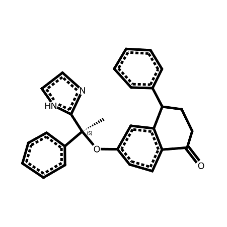 C[C@](Oc1ccc2c(c1)C(c1ccccc1)CCC2=O)(c1ccccc1)c1ncc[nH]1